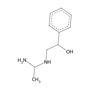 CC(N)NCC(O)c1ccccc1